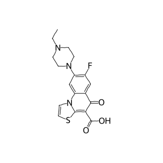 CCN1CCN(c2cc3c(cc2F)c(=O)c(C(=O)O)c2sccn23)CC1